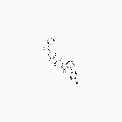 CC1CN(C(=O)c2ccccc2)CCN1C(=O)C(=O)c1c[nH]c2c(-c3cnc(O)cn3)nccc12